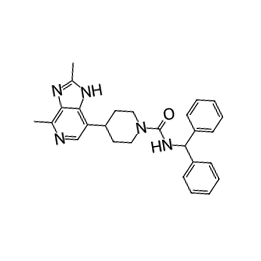 Cc1nc2c(C)ncc(C3CCN(C(=O)NC(c4ccccc4)c4ccccc4)CC3)c2[nH]1